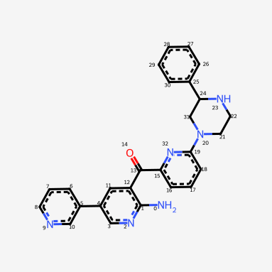 Nc1ncc(-c2cccnc2)cc1C(=O)c1cccc(N2CCNC(c3ccccc3)C2)n1